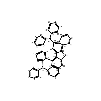 c1ccc(N(c2ccccc2)c2ccccc2-c2cccc3oc4c5ccccc5c(N(c5ccccc5)c5ccccc5)cc4c23)cc1